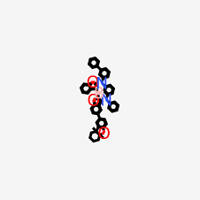 CC12CCCCC1(C)c1cc(-c3ccc4oc5c(c4c3)N(c3ccccc3)c3cccc4c3B5c3c(oc5ccccc35)N4c3cccc(-c4ccccc4)c3)ccc1O2